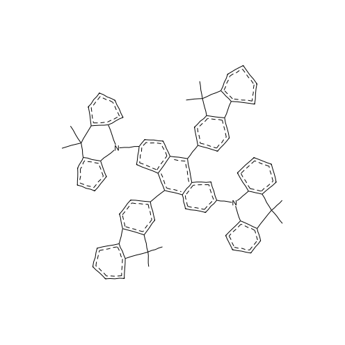 CC1(C)c2ccccc2-c2ccc(-c3c4ccc(N5c6ccccc6C(C)(C)c6ccccc65)cc4c(-c4ccc5c(c4)C(C)(C)c4ccccc4-5)c4ccc(N5c6ccccc6C(C)(C)c6ccccc65)cc34)cc21